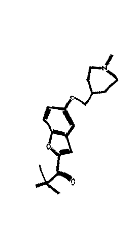 CN1CCC(COc2ccc3oc(C(=O)C(C)(C)C)cc3c2)CC1